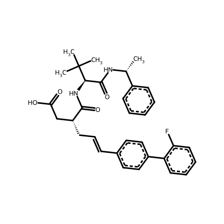 C[C@@H](NC(=O)[C@@H](NC(=O)[C@H](C/C=C/c1ccc(-c2ccccc2F)cc1)CC(=O)O)C(C)(C)C)c1ccccc1